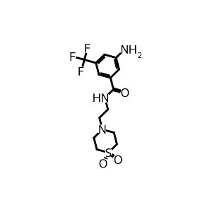 Nc1cc(C(=O)NCCN2CCS(=O)(=O)CC2)cc(C(F)(F)F)c1